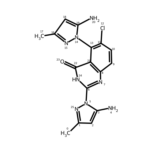 Cc1cc(N)n(-c2nc3ccc(Cl)c(-n4nc(C)cc4N)c3c(=O)[nH]2)n1